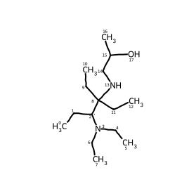 CC[C](N(CC)CC)C(CC)(CC)NCC(C)O